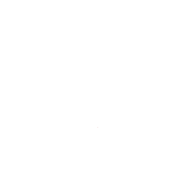 Cc1ccc(COPI)cc1Br